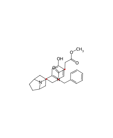 COC(=O)CCC(=O)N(CCN1C2CCC1CC(c1cccc(O)c1)C2)Cc1ccccc1